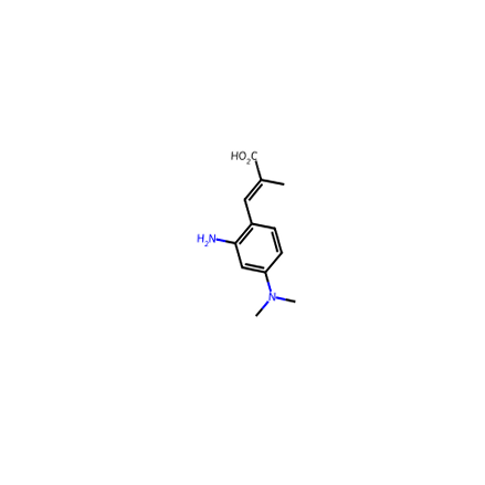 CC(=Cc1ccc(N(C)C)cc1N)C(=O)O